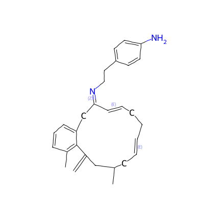 C=C1CC(C)C/C=C/CC/C=C/C(=N\CCc2ccc(N)cc2)Cc2cccc(C)c21